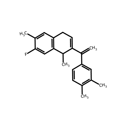 C=C(C1=CCc2cc(C)c(F)cc2C1C)c1ccc(C)c(C)c1